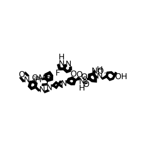 COc1cc(CN2CCN(C3CC4(C3)CN(c3ccc(C(=O)NS(=O)(=O)c5ccc(NCC6CCC(C)(O)CC6)c([N+](=O)[O-])c5)c(Oc5cnc6[nH]cc(F)c6c5)c3)C4)[C@H](c3ccccc3C(C)C)C2)ccc1N1CCOCC1